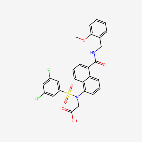 COc1ccccc1CNC(=O)c1cccc2c(N(CC(=O)O)S(=O)(=O)c3cc(Cl)cc(Cl)c3)cccc12